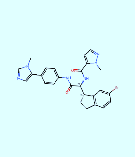 Cn1cncc1-c1ccc(NC(=O)[C@@H](NC(=O)c2ccnn2C)[C@H]2CCc3ccc(Br)cc32)cc1